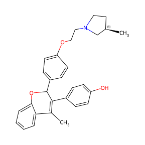 CC1=C(c2ccc(O)cc2)C(c2ccc(OCCN3CC[C@@H](C)C3)cc2)Oc2ccccc21